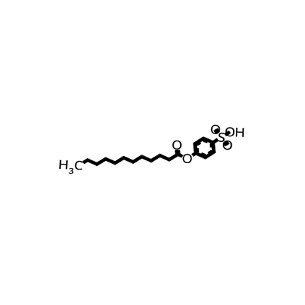 CCCCCCCCCCCC(=O)Oc1ccc(S(=O)(=O)O)cc1